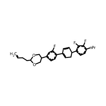 C=CCCC1OCC(c2ccc(C3=CCC(c4ccc(CCC)c(F)c4F)C=C3)c(F)c2)CO1